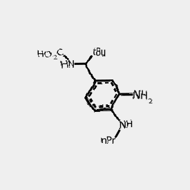 CCCNc1ccc(C(NC(=O)O)C(C)(C)C)cc1N